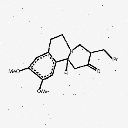 COc1cc2c(cc1OC)[C@H]1CC(=O)C(CC(C)C)CN1CC2